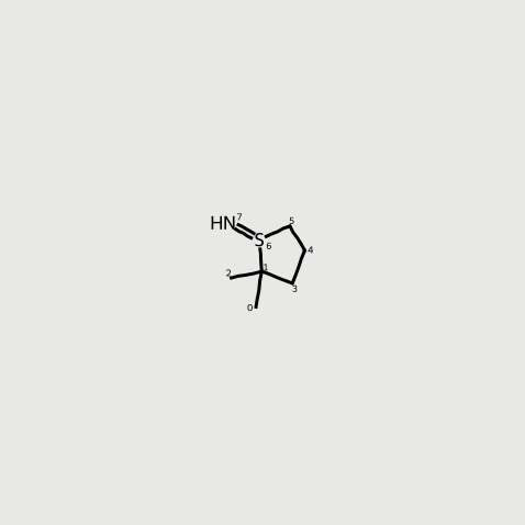 CC1(C)CCCS1=N